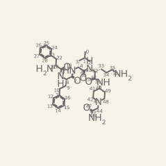 CC(C)C[C@@H](NC(=O)[C@@H](CCc1ccccc1)NC(=O)[C@H](N)Cc1ccccc1)C(=O)N[C@H](CCCN)C(=O)NC1CCN(CC(N)=O)CC1